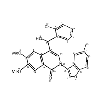 COc1cc2c(C(O)c3ccccc3Cl)cn(-c3noc4ccc(C)cc34)c(=O)c2cc1OC